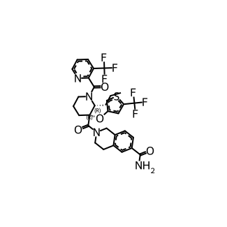 CCC[C@H]1N(C(=O)c2ncccc2C(F)(F)F)CCC[C@]1(Oc1csc(C(F)(F)F)c1)C(=O)N1CCc2cc(C(N)=O)ccc2C1